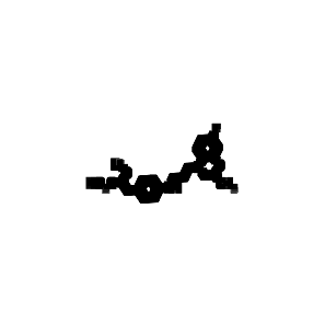 CCOC(Cc1ccc(NCCCN2CC(C)Oc3cc(F)ccc32)cc1)C(=O)O